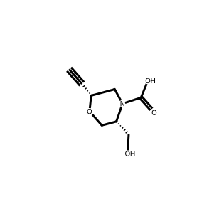 C#C[C@@H]1CN(C(=O)O)[C@H](CO)CO1